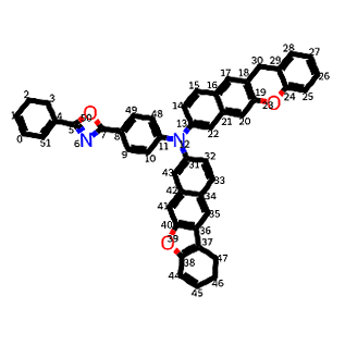 C1=CCCC(C2=NC(c3ccc(N(c4ccc5cc6c(cc5c4)Oc4ccccc4C6)c4ccc5cc6c7c(oc6cc5c4)C=CCC7)cc3)O2)=C1